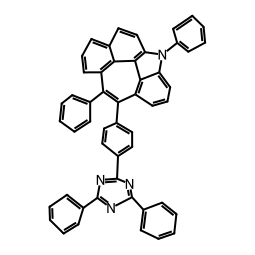 c1ccc(C2=C(c3ccc(-c4nc(-c5ccccc5)nc(-c5ccccc5)n4)cc3)c3cccc4c3c3c5c2cccc5ccc3n4-c2ccccc2)cc1